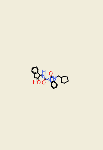 O=C(N[C@H]1c2ccccc2C[C@H]1O)n1c(=O)n(CC2CCCCC2)c2ccccc21